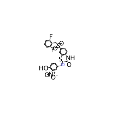 O=C1Nc2ccc(S(=O)(=O)Cc3c(F)cccc3F)cc2S/C1=C\c1ccc(O)c([N+](=O)[O-])c1